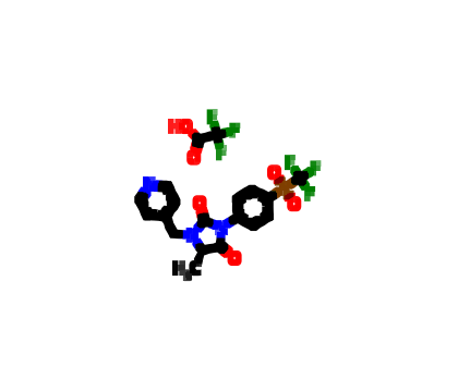 C[C@@H]1C(=O)N(c2ccc(S(=O)(=O)C(F)(F)F)cc2)C(=O)N1Cc1ccncc1.O=C(O)C(F)(F)F